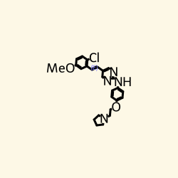 COc1ccc(Cl)c(/C=C/c2cnc(Nc3ccc(OCCN4CCCC4)cc3)nc2)c1